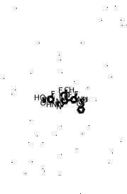 CC(Oc1nc2nc(N[C@H]3C[C@H](F)CN(C(=O)O)C3)ncc2cc1-c1ccc(NS(=O)(=O)Cc2ccccc2)c(F)c1F)C(F)F